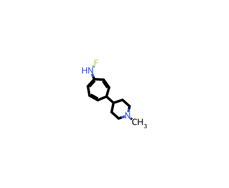 CN1CCC(C2C=CC=C(NF)C=C2)CC1